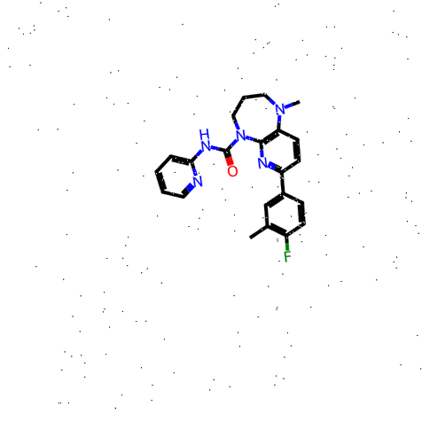 Cc1cc(-c2ccc3c(n2)N(C(=O)Nc2ccccn2)CCCN3C)ccc1F